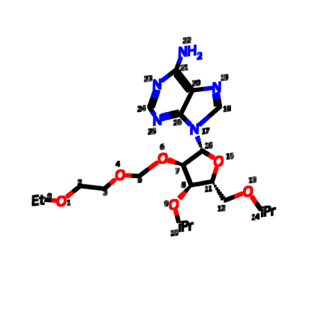 CCOCCOCO[C@@H]1[C@H](OC(C)C)[C@@H](COC(C)C)O[C@H]1n1cnc2c(N)ncnc21